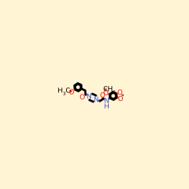 COc1cccc(CC(=O)N2CCN(CC(=O)Nc3cc4c(cc3OC)OCO4)CC2)c1